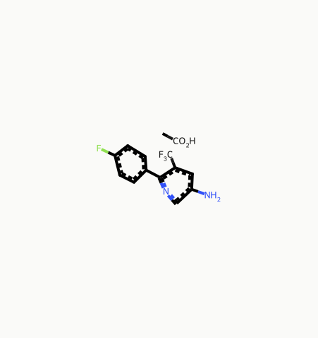 CC(=O)O.Nc1cnc(-c2ccc(F)cc2)c(C(F)(F)F)c1